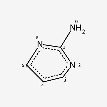 Nc1n[c]c[c]n1